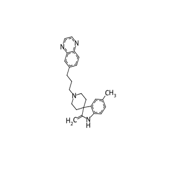 C=C1Nc2ccc(C)cc2C12CCN(CCCc1ccc3nccnc3c1)CC2